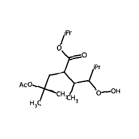 CC(=O)OC(C)(C)CC(C(=O)OC(C)C)C(C)C(OO)C(C)C